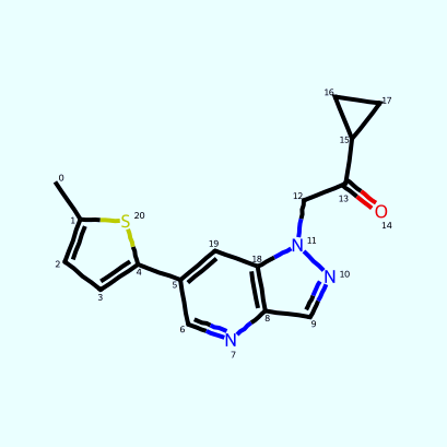 Cc1ccc(-c2cnc3cnn(CC(=O)C4CC4)c3c2)s1